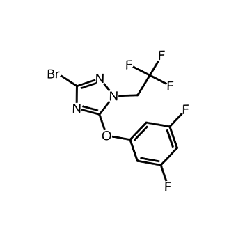 Fc1cc(F)cc(Oc2nc(Br)nn2CC(F)(F)F)c1